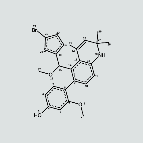 COc1cc(O)ccc1-c1ccc2c(c1C(OC)c1ccc(Br)s1)C(C)=CC(C)(C)N2